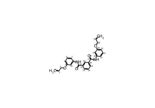 C=CCOc1cccc(NC(=O)c2cccc(C(=O)Nc3cccc(OCC=C)c3)c2)c1